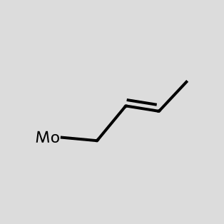 CC=C[CH2][Mo]